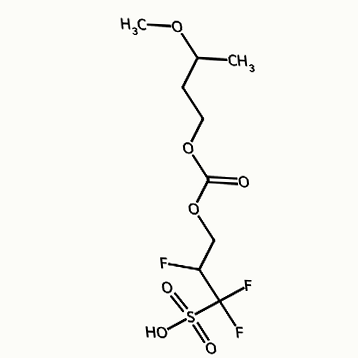 COC(C)CCOC(=O)OCC(F)C(F)(F)S(=O)(=O)O